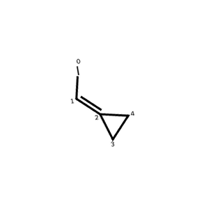 IC=C1CC1